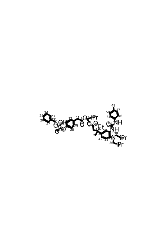 CC[C@](C)(CC(=O)OC(OC(=O)Cc1ccc(OP(=O)(O)OCc2ccccc2)cc1)C(C)C)c1ccc(N(CC(C)C)CC(C)C)c(NC(=O)Nc2ccc(C)cc2)c1